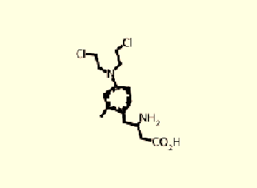 Cc1cc(N(CCCl)CCCl)ccc1CC(N)CC(=O)O